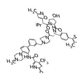 Cc1cc([C@H](C(=O)N2C[C@H](O)C[C@H]2C(=O)N[C@@H](CC(=O)N2CCN(Cc3cccc(-c4ccc(N5CCN(C)CC5)c(NC(=O)c5c[nH]c(=O)cc5C(F)(F)F)c4)c3)CC2)c2ccc(-c3scnc3C)cc2)C(C)C)on1